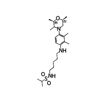 Cc1c(NCCCCCNS(=O)(=O)C(C)C)ccc(N2C[C@H](C)O[C@H](C)C2C)c1C